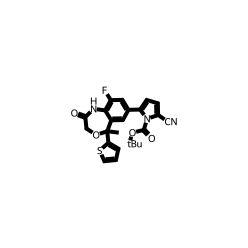 CC(C)(C)OC(=O)n1c(C#N)ccc1-c1cc(F)c2c(c1)C(C)(c1cccs1)OCC(=O)N2